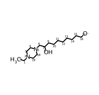 CCN1CCN(CC(O)CCCCCCCC[O])CC1